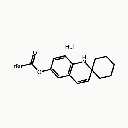 CC(C)(C)C(=O)Oc1ccc2c(c1)C=CC1(CCCCC1)N2.Cl